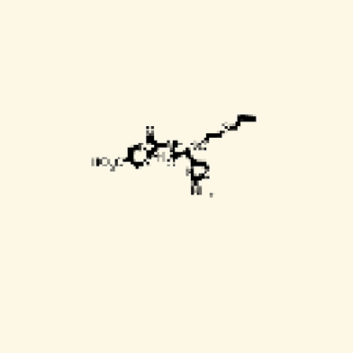 C=CCSCCON=C(C(=O)NC1C(=O)N2C=C(C(=O)O)CS[C@H]12)c1csc(N)n1